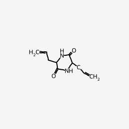 C=CCC1NC(=O)C(CC=C)NC1=O